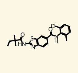 CCC(C)(C)C(=O)Nc1nc2ccc(C(=O)Nc3c(C)cccc3Cl)cc2s1